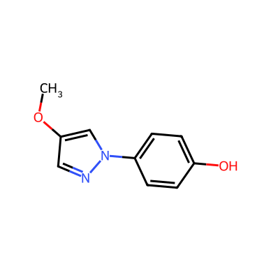 COc1cnn(-c2ccc(O)cc2)c1